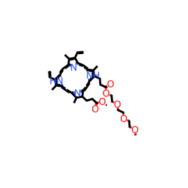 C=CC1=C(C)c2cc3[nH]c(cc4nc(cc5[nH]c(cc1n2)c(C)c5CCC(=O)OCCOCCOCCOC)C(CCC(=O)OC)C4C)c(C)c3C=C